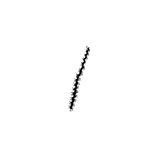 CCCCCCCCCCC[CH]CCCCCCCCCCCCCCCC